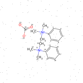 C[N+](C)(C)c1ccccc1.C[N+](C)(C)c1ccccc1.O=[Si]([O-])[O-]